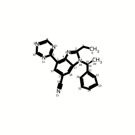 CCc1nc2c(-c3ncncn3)cc(C#N)cc2n1[C@@H](C)c1ccccc1